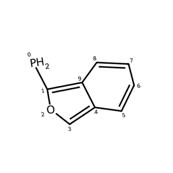 Pc1occ2ccccc12